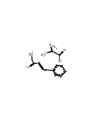 CC(C)C(=O)O.O=C(O)C=Cc1ccccc1